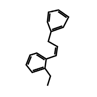 CCc1ccccc1/C=C\Cc1ccccc1